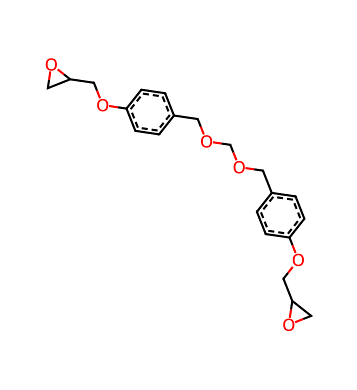 c1cc(OCC2CO2)ccc1COCOCc1ccc(OCC2CO2)cc1